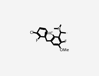 [CH2]C(c1c(F)c(OC)cc(Cc2cccc(Cl)c2F)c1C=O)N(C)C